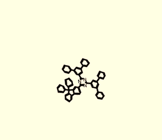 c1ccc(-c2cc(-c3ccccc3)cc(-c3nc(-c4cc(-c5ccccc5)cc(-c5ccccc5)c4)nc(-c4ccc5c(c4)C(c4ccccc4)(c4ccccc4)c4ccccc4-5)n3)c2)cc1